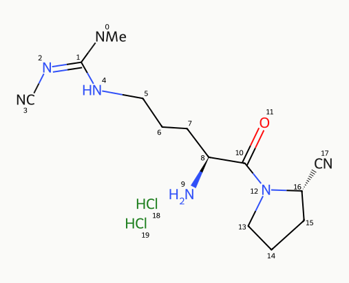 CN/C(=N/C#N)NCCC[C@H](N)C(=O)N1CCC[C@H]1C#N.Cl.Cl